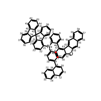 c1ccc(N(c2ccc(-c3cccc4ccccc34)cc2)c2cccc3c2-c2ccccc2C32c3ccccc3-c3ccccc32)c(-c2cccc3oc4cc5ccccc5cc4c23)c1